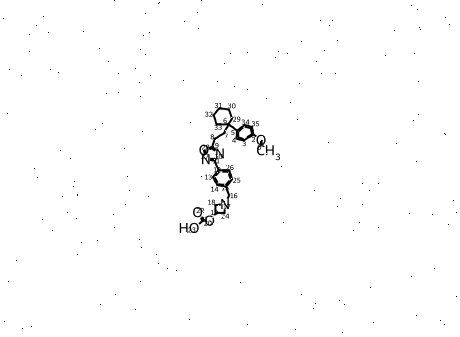 COc1ccc(C2(CCc3nc(-c4ccc(CN5CC(OC(=O)O)C5)cc4)no3)CCCCC2)cc1